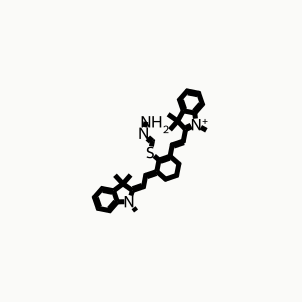 CN1/C(=C/C=C2\CCCC(/C=C/C3=[N+](C)c4ccccc4C3(C)C)=C2S/C=N/N)C(C)(C)c2ccccc21